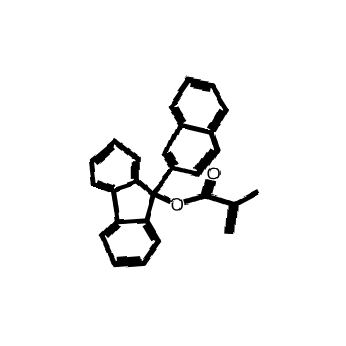 C=C(C)C(=O)OC1(c2ccc3ccccc3c2)c2ccccc2-c2ccccc21